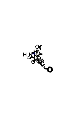 C=C(NCC(C)=O)C(=O)N(/C=C\N)C(CC)C(=O)NCC(=O)CSCc1ccccc1